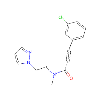 CN(CCn1cccn1)C(=O)C#Cc1cccc(Cl)c1